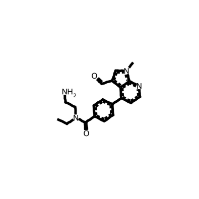 CCN(CCN)C(=O)c1ccc(-c2ccnc3c2c(C=O)cn3C)cc1